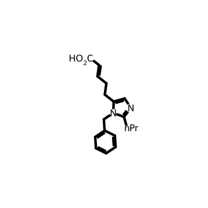 CCCc1ncc(CCC=CC(=O)O)n1Cc1ccccc1